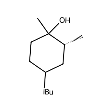 CCC(C)C1CCC(C)(O)[C@H](C)C1